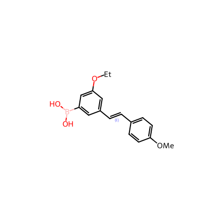 CCOc1cc(/C=C/c2ccc(OC)cc2)cc(B(O)O)c1